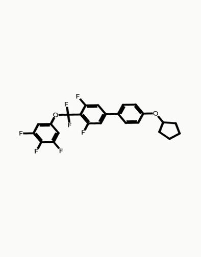 Fc1cc(OC(F)(F)c2c(F)cc(-c3ccc(OC4CCCC4)cc3)cc2F)cc(F)c1F